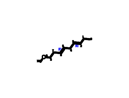 CC/C=C/C/C=C/CCOC